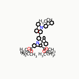 CC1(C)c2ccccc2-c2ccc(N(c3ccc(-c4ccc5c(c4)C4(c6ccccc6-c6ccccc64)c4cc(B6OC(C)(C)C(C)(C)O6)cc6c7cc(B8OC(C)(C)C(C)(C)O8)ccc7n-5c46)cc3)c3ccccc3-c3ccccc3)cc21